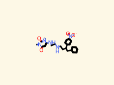 Cn1c(NCCNCCC(Cc2ccccc2)c2ccc([N+](=O)[O-])cc2)cc(=O)n(C)c1=O